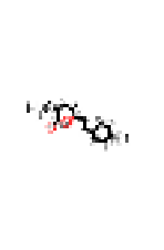 CCC1CCC(CCC2CCC(C)C(=O)O2)CC1